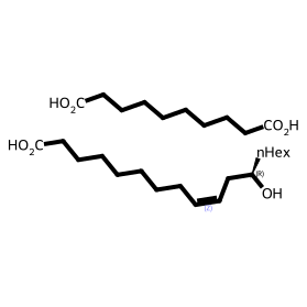 CCCCCC[C@@H](O)C/C=C\CCCCCCCC(=O)O.O=C(O)CCCCCCCCC(=O)O